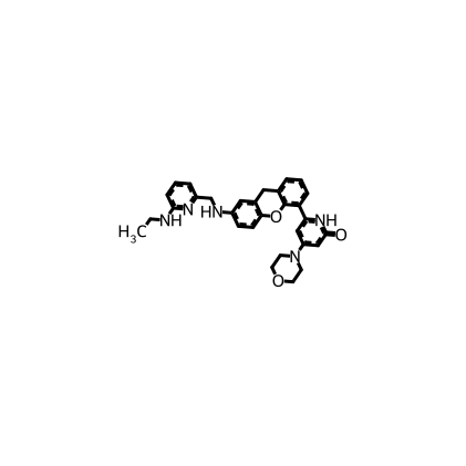 CCNc1cccc(CNc2ccc3c(c2)Cc2cccc(-c4cc(N5CCOCC5)cc(=O)[nH]4)c2O3)n1